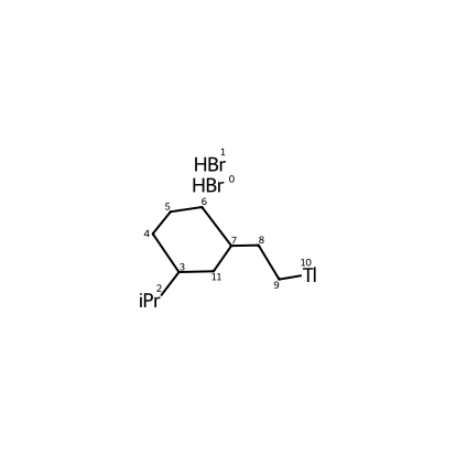 Br.Br.CC(C)C1CCCC(C[CH2][Tl])C1